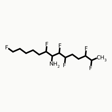 CC(F)C(F)CCC(F)C(F)C(N)C(F)CCCCCF